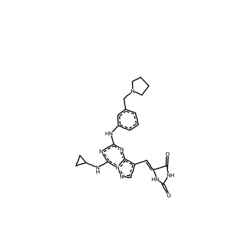 O=C1NC(=O)/C(=C/c2cnn3c(NC4CC4)nc(Nc4cccc(CN5CCCC5)c4)nc23)N1